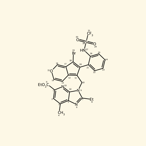 CCOC(=O)c1cc(C)c2nc(CC)n(Cc3c4ccocc-4c(Br)c3-c3ccccc3NS(=O)(=O)C(F)(F)F)c2n1